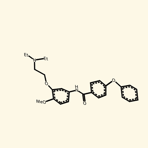 CCN(CC)CCOc1cc(NC(=O)c2ccc(Oc3ccccc3)cc2)ccc1OC